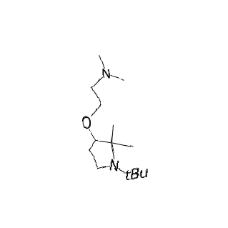 CN(C)CCOC1CCN(C(C)(C)C)C1(C)C